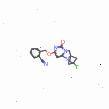 N#Cc1ccccc1COc1cc2n(c(=O)n1)CC13CC(F)(CN21)C3